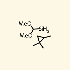 CC1CC1(C)C.COC([SiH3])OC